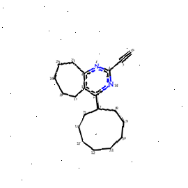 C#Cc1nc2c(c(C3CCCCCCCC3)n1)CCCCC2